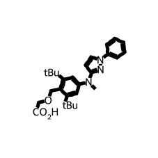 CN(c1cc(C(C)(C)C)c(COCC(=O)O)c(C(C)(C)C)c1)c1ccn(-c2ccccc2)n1